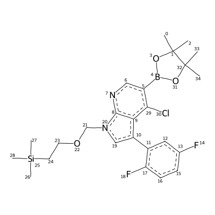 CC1(C)OB(c2cnc3c(c(-c4cc(F)ccc4F)cn3COCC[Si](C)(C)C)c2Cl)OC1(C)C